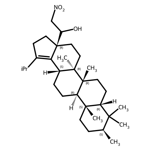 CC(C)C1=C2[C@H]3CC[C@@H]4[C@@]5(C)CC[C@H](C)C(C)(C)[C@H]5CC[C@@]4(C)[C@]3(C)CC[C@@]2(C(O)C[N+](=O)[O-])CC1